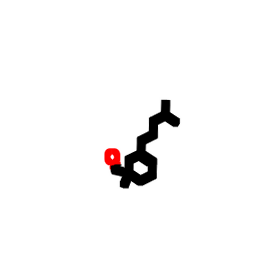 CC(C)CCCC1=CCCC(C)(C=O)C1